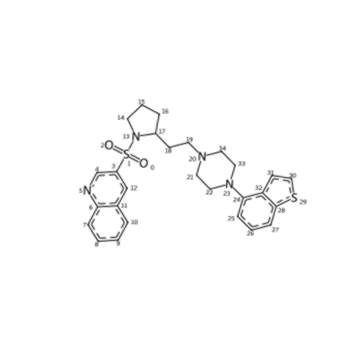 O=S(=O)(c1cnc2ccccc2c1)N1CCCC1CCN1CCN(c2cccc3sccc23)CC1